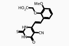 COc1cccc(C=Cc2[nH]c(=S)[nH]c(=O)c2C#N)c1OCC(=O)O